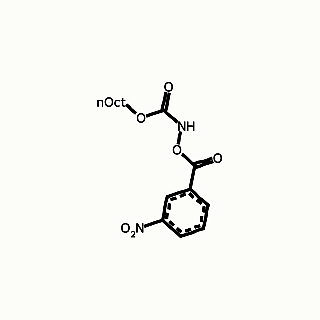 CCCCCCCCOC(=O)NOC(=O)c1cccc([N+](=O)[O-])c1